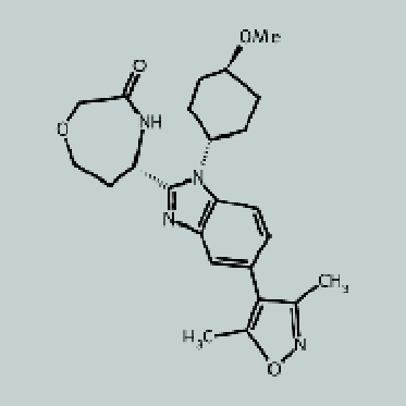 CO[C@H]1CC[C@H](n2c([C@@H]3CCOCC(=O)N3)nc3cc(-c4c(C)noc4C)ccc32)CC1